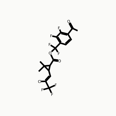 CC(=O)c1ccc(C(F)(F)OC(=O)C2C(C=C(Cl)C(F)(F)F)C2(C)C)c(F)c1F